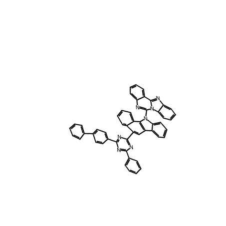 c1ccc(-c2ccc(-c3nc(-c4ccccc4)nc(-c4cc5c6ccccc6n(-c6nc7ccccc7c7nc8ccccc8n67)c5c5ccccc45)n3)cc2)cc1